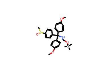 COc1ccc(C(NCO[Si](C)(C)C)(c2ccc(OC)cc2)c2ccc([S+](C)[O-])cc2)cc1